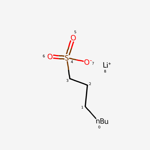 CCCCCCCS(=O)(=O)[O-].[Li+]